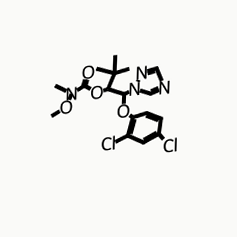 CON(C)C(=O)OC(C(Oc1ccc(Cl)cc1Cl)n1cncn1)C(C)(C)C